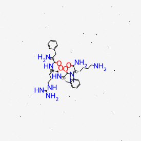 N=C(N)NCCC[C@@H](NC(=O)[C@@H](N)Cc1ccccc1)C(=O)N[C@@H](Cc1ccccc1)C(=O)N[C@@H](CCCCN)C(N)=O